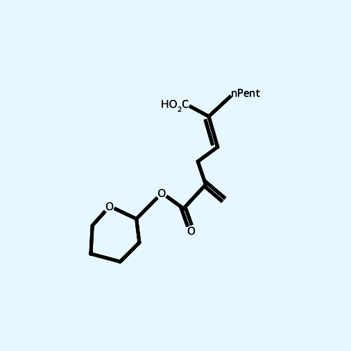 C=C(CC=C(CCCCC)C(=O)O)C(=O)OC1CCCCO1